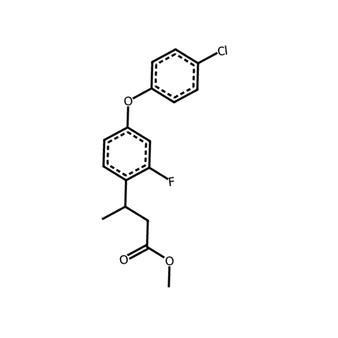 COC(=O)CC(C)c1ccc(Oc2ccc(Cl)cc2)cc1F